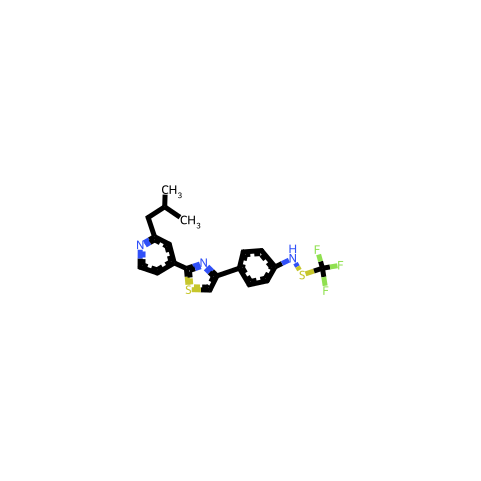 CC(C)Cc1cc(-c2nc(-c3ccc(NSC(F)(F)F)cc3)cs2)ccn1